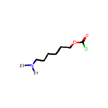 CCN(CC)CCCCCCOC(=O)Cl